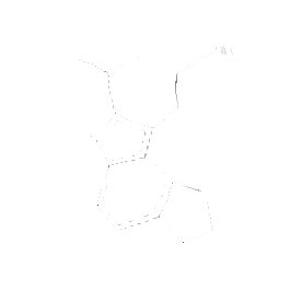 NCCc1c(C(=O)O)[nH]c2ccc3c(c12)OCC3